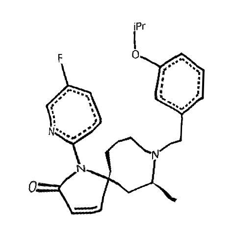 CC(C)Oc1cccc(CN2CC[C@]3(C=CC(=O)N3c3ccc(F)cn3)C[C@@H]2C)c1